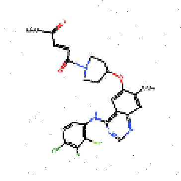 COC(=O)/C=C/C(=O)N1CCC(Oc2cc3c(Nc4ccc(Cl)c(Cl)c4F)ncnc3cc2OC)CC1